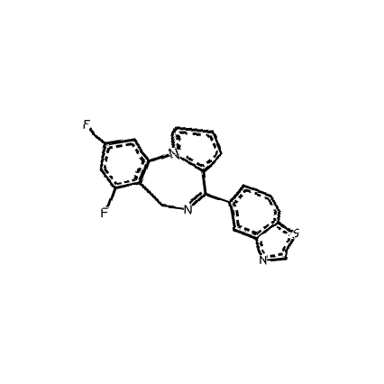 Fc1cc(F)c2c(c1)-n1cccc1C(c1ccc3scnc3c1)=NC2